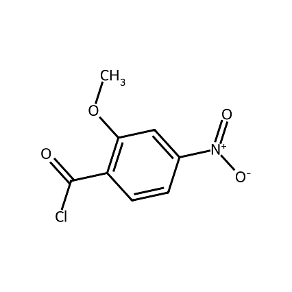 COc1cc([N+](=O)[O-])ccc1C(=O)Cl